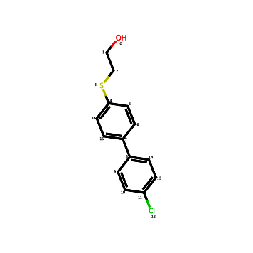 OCCSc1ccc(-c2ccc(Cl)cc2)cc1